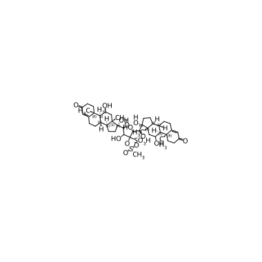 C[C@]12CCC(=O)C=C1CC[C@@H]1[C@@H]2[C@@H](O)C[C@@]2(C)[C@H]1CC[C@]2(O)C(=O)C(O)C(OS(C)(=O)=O)(C(O)C(=O)[C@@]1(O)CC[C@H]2[C@@H]3CCC4=CC(=O)CC[C@]4(C)[C@H]3C(O)C[C@@]21C)S(=O)(=O)O